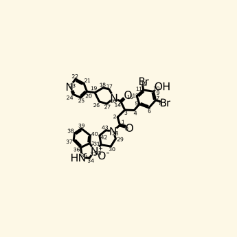 O=C(CC(Cc1cc(Br)c(O)c(Br)c1)C(=O)N1CCC(c2ccncc2)CC1)N1CCC([N+]2([O-])CNc3ccccc32)CC1